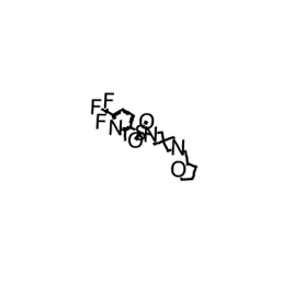 Cc1nc(C(F)(F)F)ccc1S(=O)(=O)N1CC2(CN(CC3CCCO3)C2)C1